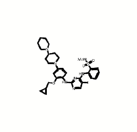 CNS(=O)(=O)c1ccccc1Nc1nc(Nc2ccc(N3CCC(N4CCCCC4)CC3)cc2OCC2CC2)ncc1I